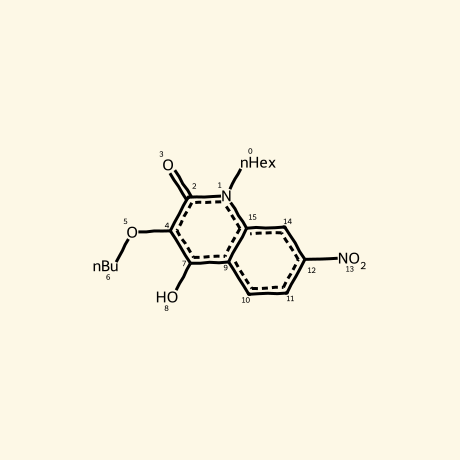 CCCCCCn1c(=O)c(OCCCC)c(O)c2ccc([N+](=O)[O-])cc21